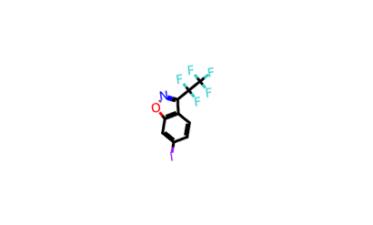 FC(F)(F)C(F)(F)c1noc2cc(I)ccc12